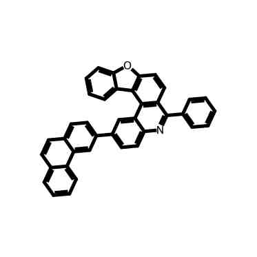 c1ccc(-c2nc3ccc(-c4ccc5ccc6ccccc6c5c4)cc3c3c2ccc2oc4ccccc4c23)cc1